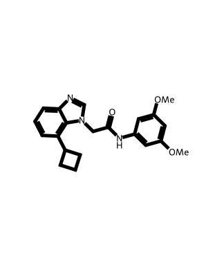 COc1cc(NC(=O)Cn2cnc3cccc(C4CCC4)c32)cc(OC)c1